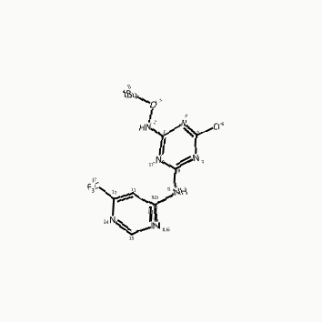 CC(C)(C)ONc1nc(Cl)nc(Nc2cc(C(F)(F)F)ncn2)n1